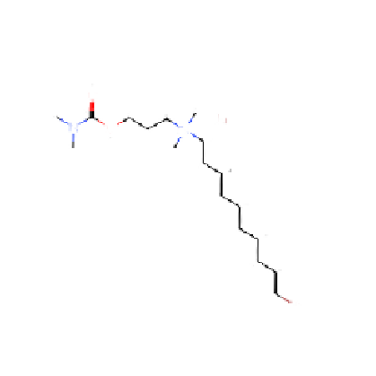 CN(C)C(=O)OCCC[N+](C)(C)CCCCCCCCCCBr.[Br-]